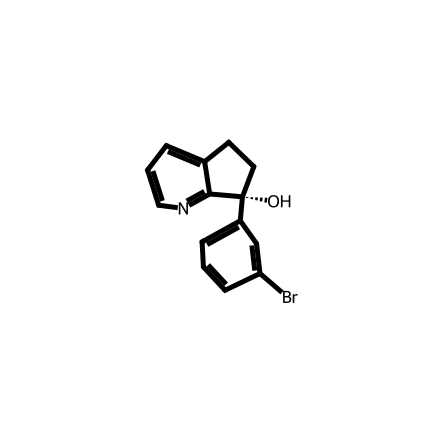 O[C@@]1(c2cccc(Br)c2)CCc2cccnc21